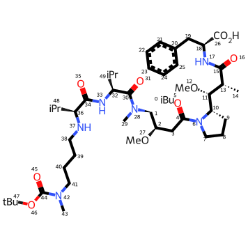 CC[C@H](C)[C@@H]([C@@H](CC(=O)N1CCC[C@H]1[C@H](OC)[C@@H](C)C(=O)N[C@@H](Cc1ccccc1)C(=O)O)OC)N(C)C(=O)[C@@H](NC(=O)[C@@H](NCCCCN(C)C(=O)OC(C)(C)C)C(C)C)C(C)C